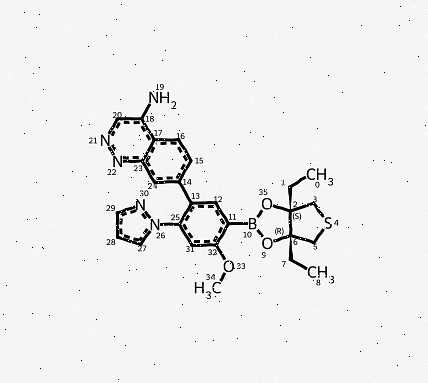 CC[C@@]12CSC[C@]1(CC)OB(c1cc(-c3ccc4c(N)cnnc4c3)c(-n3cccn3)cc1OC)O2